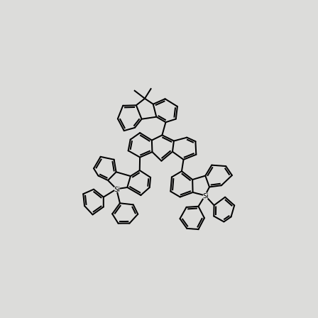 CC1(C)c2ccccc2-c2c(-c3c4cccc(-c5cccc6c5-c5ccccc5[Si]6(c5ccccc5)c5ccccc5)c4cc4c(-c5cccc6c5-c5ccccc5[Si]6(c5ccccc5)c5ccccc5)cccc34)cccc21